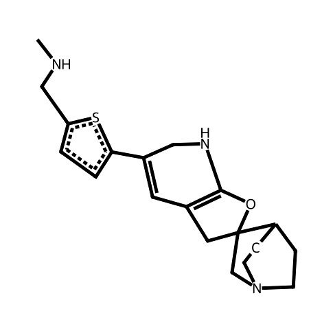 CNCc1ccc(C2=CC3=C(NC2)OC2(C3)CN3CCC2CC3)s1